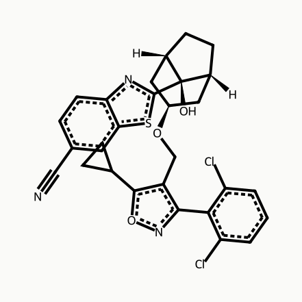 N#Cc1ccc2nc([C@@]3(O)[C@@H]4CC[C@H]3C[C@H](OCc3c(-c5c(Cl)cccc5Cl)noc3C3CC3)C4)sc2c1